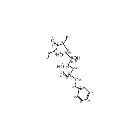 CCO[PH](=O)C(F)C[C@@H](O)[C@@H](O)[C@@H](O)CN(C=O)OCc1ccccc1